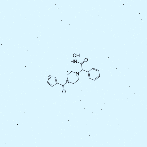 O=C(NO)C(c1ccccc1)N1CCN(C(=O)c2ccsc2)CC1